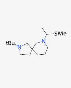 CSC(C)N1CCCC2(CCN(C(C)(C)C)C2)C1